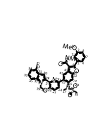 CNC(=O)c1c(-c2cccc(OC)c2)oc2cc(N(C)S(C)(=O)=O)c(-c3ccc4c(n3)-c3cc5c(F)cccc5n3CO4)cc12